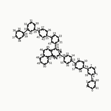 c1ccc(-c2cccc(-c3ccc(-c4ccc(-c5nc(-c6cccc(-c7ccc(-c8cccc(-c9ccccc9)c8)cc7)c6)c6ccc7ccccc7c6n5)cc4)cc3)c2)cc1